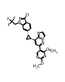 COc1ncc(-c2cc([C@H]3C[C@@H]3c3ccc4c(Cl)nn(CC(F)(F)F)c4c3)c3nccn3n2)c(OC)n1